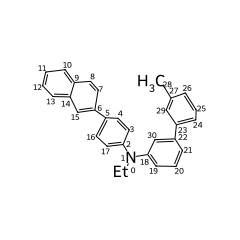 CCN(c1ccc(-c2ccc3ccccc3c2)cc1)c1cccc(-c2cccc(C)c2)c1